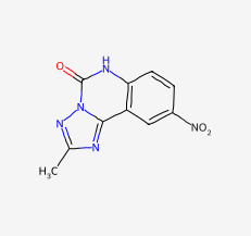 Cc1nc2c3cc([N+](=O)[O-])ccc3[nH]c(=O)n2n1